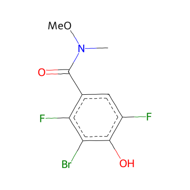 CON(C)C(=O)c1cc(F)c(O)c(Br)c1F